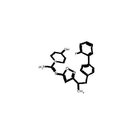 CC(Cc1ccc(-c2ccccc2F)cc1)c1cc(N=C(N)N2CCC(O)CC2)on1